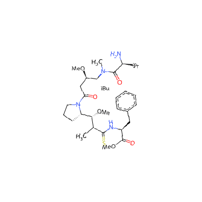 CC[C@H](C)[C@@H]([C@@H](CC(=O)N1CCC[C@H]1[C@H](OC)C(C)C(=S)N[C@@H](Cc1ccccc1)C(=O)OC)OC)N(C)C(=O)[C@@H](N)C(C)C